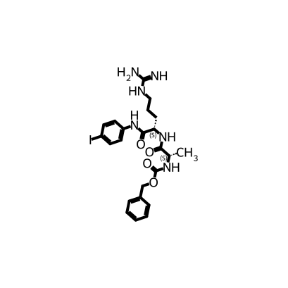 C[C@H](NC(=O)OCc1ccccc1)C(=O)N[C@@H](CCCNC(=N)N)C(=O)Nc1ccc(I)cc1